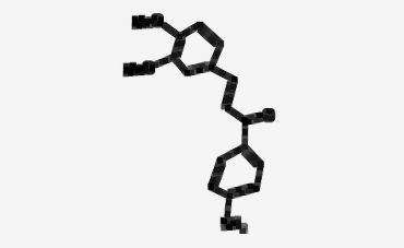 COc1ccc(C=CC(=O)c2ccc(N)cc2)cc1OC